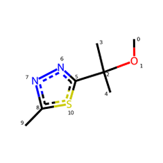 COC(C)(C)c1nnc(C)s1